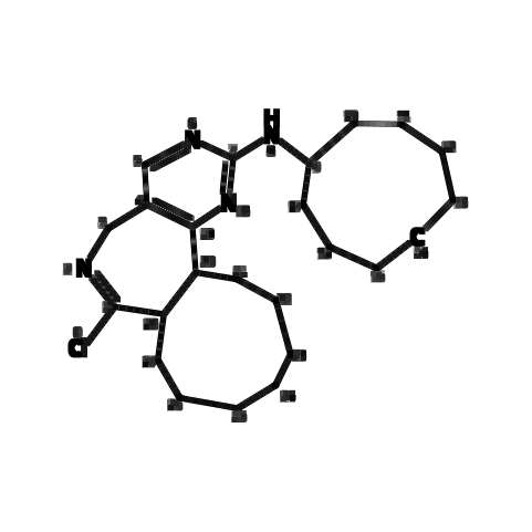 ClC1=NCc2cnc(NC3CCCCCCCC3)nc2C2CCCCCCCC12